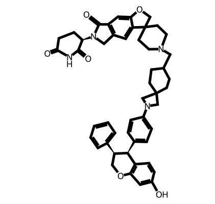 O=C1CC[C@@H](N2Cc3cc4c(cc3C2=O)OCC42CCN(CC3CCC4(CC3)CN(c3ccc([C@H]5c6ccc(O)cc6OC[C@H]5c5ccccc5)cc3)C4)CC2)C(=O)N1